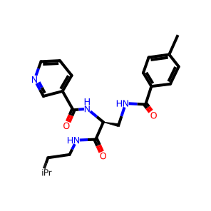 Cc1ccc(C(=O)NC[C@H](NC(=O)c2cccnc2)C(=O)NCCC(C)C)cc1